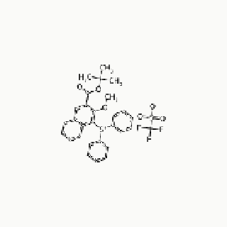 COc1c(C(=O)OC(C)(C)C)cc2ccccc2c1[S+](c1ccccc1)c1ccccc1.O=S(=O)([O-])C(F)(F)F